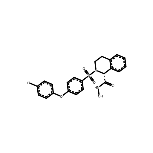 O=C(NO)[C@H]1c2ccccc2CCN1S(=O)(=O)c1ccc(Oc2ccc(Cl)cc2)cc1